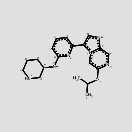 CC(C)Oc1cn2c(-c3cccc(N[C@@H]4CCCNC4)n3)cnc2cn1